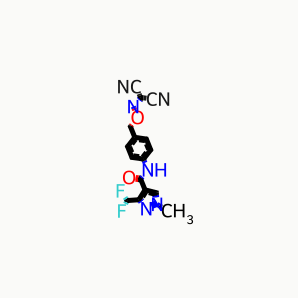 Cn1cc(C(=O)Nc2ccc(CON=C(C#N)C#N)cc2)c(C(F)F)n1